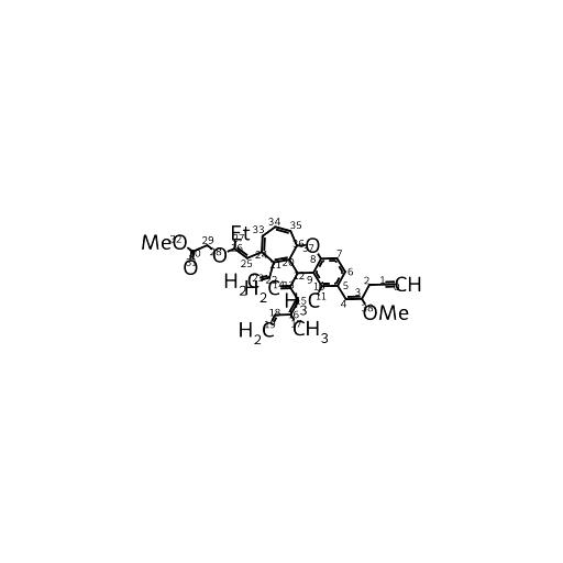 C#CC/C(=C\c1ccc2c(c1C)C(C(=C)/C=C(/C)C=C)C1=C(C=C)C(/C=C(\CC)OCC(=O)OC)=CC=CC1O2)OC